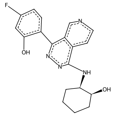 Oc1cc(F)ccc1-c1nnc(N[C@@H]2CCCC[C@@H]2O)c2ccncc12